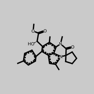 COC(=O)[C@@H](O)c1c(C)c2c3c(cc(C)n3C3(CCCC3)C(=O)N2C)c1-c1ccc(C)cc1